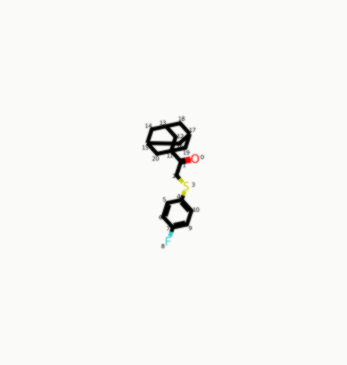 O=C(CSc1ccc(F)cc1)C12CC3CC(CC(C3)C1)C2